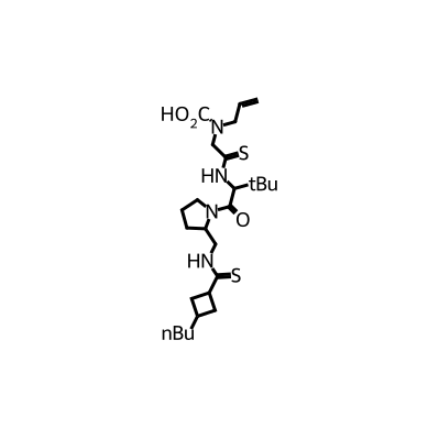 C=CCN(CC(=S)NC(C(=O)N1CCCC1CNC(=S)C1CC(CCCC)C1)C(C)(C)C)C(=O)O